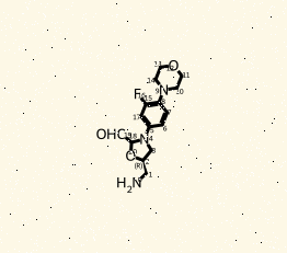 NC[C@@H]1CN(c2ccc(N3CCOCC3)c(F)c2)C(C=O)O1